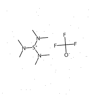 CN(C)[S+](N(C)C)N(C)C.[O-]C(F)(F)F